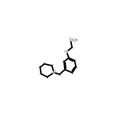 O=C(O)COc1cccc(CN2CCCCC2)c1